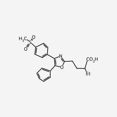 CCC(CCc1nc(-c2ccc(S(C)(=O)=O)cc2)c(-c2ccccc2)o1)C(=O)O